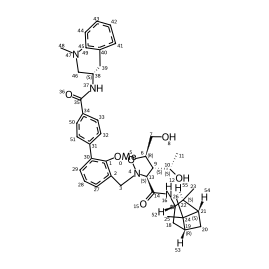 COc1c(CN2O[C@@H](CO)[C@H]([C@H](C)O)[C@H]2C(=O)N[C@H]2C[C@H]3C[C@@H]([C@@H]2C)C3(C)C)cccc1-c1ccc(C(=O)N[C@@H](Cc2ccccc2)CN(C)C)cc1